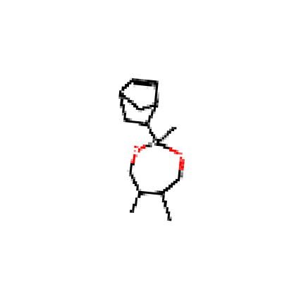 CC1CO[Si](C)(C2CC3C=CC2C3)OCC1C